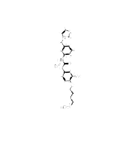 CCCCCCCCCCCCCCOc1ccc(CC(=O)Nc2cccc(C[n+]3ccsc3)c2)cc1C(C)=O.[Br-]